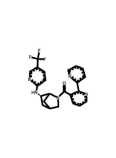 O=C(c1cccnc1-c1ccccn1)N1CC2CC1[C@@H](Nc1ccc(C(F)(F)F)cn1)C2